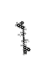 Cc1ccccc1-c1c2cc(F)c(=O)cc-2oc2cc(NCCNC(=O)C(N)CSSCC(N)C(=O)NCCNc3cc4oc5cc(=O)c(F)cc-5c(-c5ccccc5C)c4cc3F)c(F)cc12